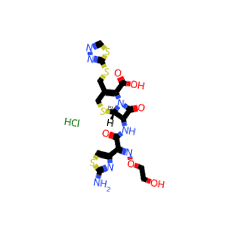 Cl.Nc1nc(C(=NOCCO)C(=O)NC2C(=O)N3C(C(=O)O)=C(CSc4nncs4)CS[C@@H]23)cs1